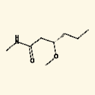 CCC[C@@H](CC(=O)NC)OC